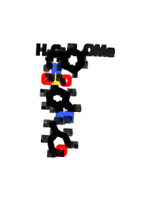 COc1ccc(N(CC(C)C)S(=O)(=O)c2ccc3c(cnn3CC3CCOCC3)c2)c(C)c1